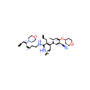 C#C/C=C(\C=C/CCNC(=N)/C(CC=C)=C(\C=C=C)C(=C)/C=C(C#N)\C(=C/CC)OC1CCOCC1)N1CCOCC1